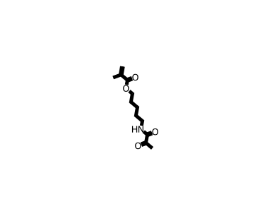 C=C(C)C(=O)OCCCCCNC(=O)C(C)=O